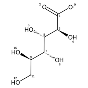 [O]C(=O)[C@@H](O)[C@@H](O)[C@H](O)[C@H](O)CO